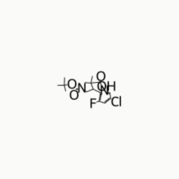 CC(C)(C)OC(=O)N1CC(c2ncc(Cl)cc2F)C(C)(C(=O)O)C1